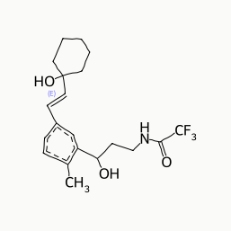 Cc1ccc(/C=C/C2(O)CCCCC2)cc1C(O)CCNC(=O)C(F)(F)F